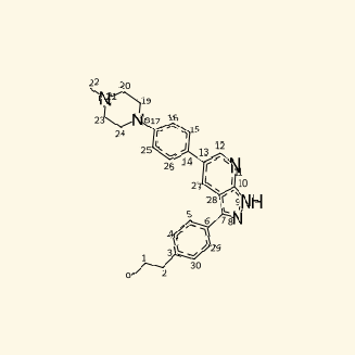 CCCc1ccc(-c2n[nH]c3ncc(-c4ccc(N5CCN(C)CC5)cc4)cc23)cc1